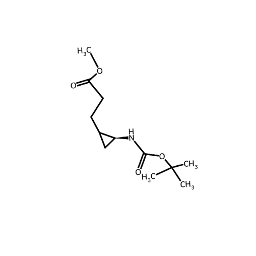 COC(=O)CCC1C[C@@H]1NC(=O)OC(C)(C)C